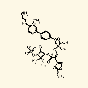 C[n+]1cc(-c2ccc(OCC(C)(O/N=C(\C(=O)N[C@@H]3C(=O)N(OS(=O)(=O)[O-])C3(C)C)c3csc(N)n3)C(=O)O)cc2)ccc1NCCN